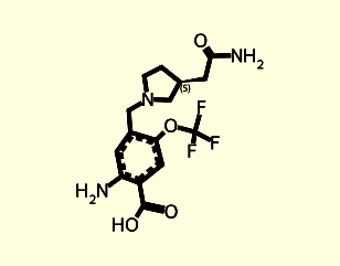 NC(=O)C[C@@H]1CCN(Cc2cc(N)c(C(=O)O)cc2OC(F)(F)F)C1